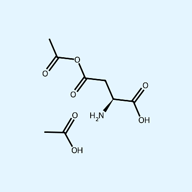 CC(=O)O.CC(=O)OC(=O)C[C@H](N)C(=O)O